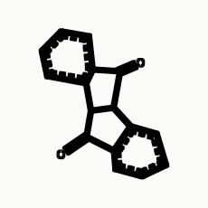 O=C1c2ccccc2C2C(=O)c3ccccc3C12